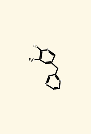 CC(C)c1ncc(Cc2cnccn2)cc1C(F)(F)F